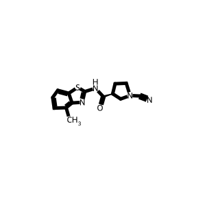 Cc1cccc2sc(NC(=O)[C@H]3CCN(C#N)C3)nc12